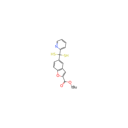 CC(C)(C)OC(=O)c1cc2cc(C(S)(S)c3ccccn3)ccc2o1